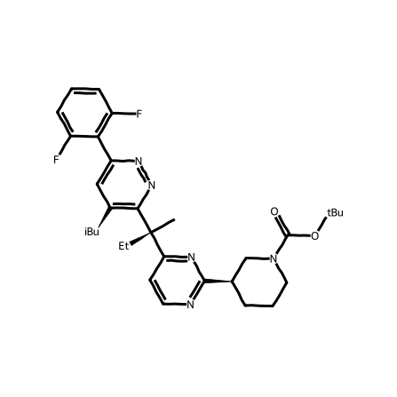 CC[C@H](C)c1cc(-c2c(F)cccc2F)nnc1[C@@](C)(CC)c1ccnc([C@@H]2CCCN(C(=O)OC(C)(C)C)C2)n1